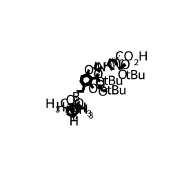 CC(C)(C)OC(=O)Oc1c(CCB2O[C@@H]3C[C@@H]4C[C@@H](C4(C)C)[C@]3(C)O2)ccc(OC2CN([C@H]3C[C@H](C(=O)O)N(C(=O)OC(C)(C)C)C3)C2)c1C(=O)OC(C)(C)C